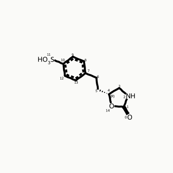 O=C1NC[C@@H](CCc2ccc(S(=O)(=O)O)cc2)O1